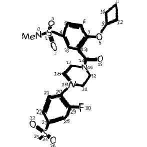 CNS(=O)(=O)c1ccc(OC2CCC2)c(C(=O)N2CCN(c3ccc(S(C)(=O)=O)cc3F)CC2)c1